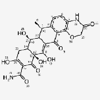 C[C@H]1c2ccc3c(c2C(=O)C2=C(O)[C@]4(O)C(=O)C(C(N)=O)=C(O)CC4[C@@H](O)C21)OCC(=O)N3